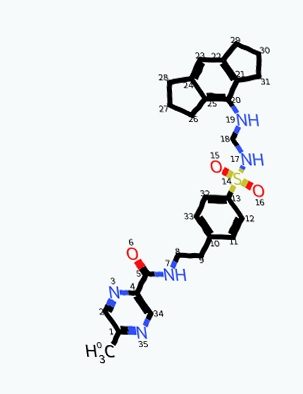 Cc1cnc(C(=O)NCCc2ccc(S(=O)(=O)NCNc3c4c(cc5c3CCC5)CCC4)cc2)cn1